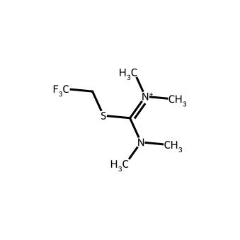 CN(C)C(SCC(F)(F)F)=[N+](C)C